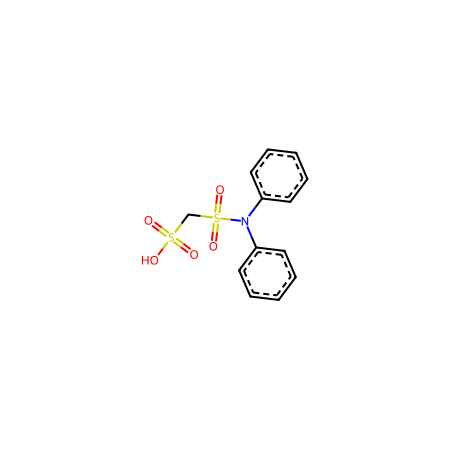 O=S(=O)(O)CS(=O)(=O)N(c1ccccc1)c1ccccc1